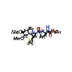 COc1cc2c(cc1OC)-c1c(-c3cccs3)cc(C(=O)N3CCC[C@H](NC(=O)OC(C)(C)C)C3)n1CC2